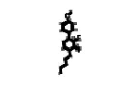 CCCCCC1CCC(c2ccc(OC)cc2)C(F)C1F